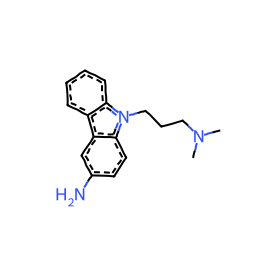 CN(C)CCCn1c2ccccc2c2cc(N)ccc21